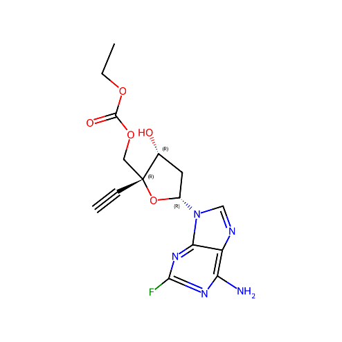 C#C[C@]1(COC(=O)OCC)O[C@@H](n2cnc3c(N)nc(F)nc32)C[C@H]1O